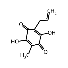 C=CCC1=C(O)C(=O)C(C)=C(O)C1=O